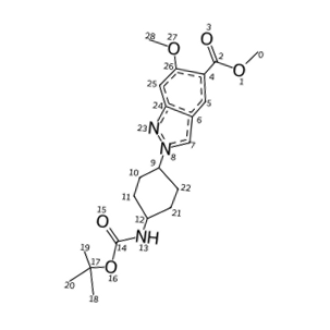 COC(=O)c1cc2cn(C3CCC(NC(=O)OC(C)(C)C)CC3)nc2cc1OC